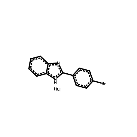 Brc1ccc(-c2nc3ccccc3[nH]2)cc1.Cl